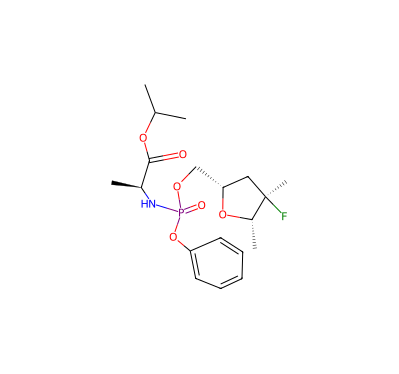 CC(C)OC(=O)[C@H](C)NP(=O)(OC[C@@H]1C[C@@](C)(F)[C@H](C)O1)Oc1ccccc1